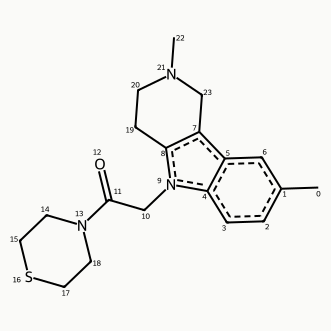 Cc1ccc2c(c1)c1c(n2CC(=O)N2CCSCC2)CCN(C)C1